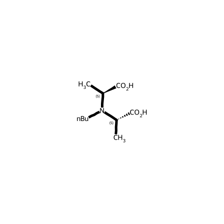 CCCCN([C@@H](C)C(=O)O)[C@@H](C)C(=O)O